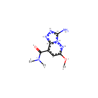 CCOc1cc(C(=O)N(CC)CC)c2nnc(N)n2n1